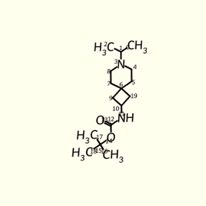 CC(C)N1CCC2(CC1)CC(NC(=O)OC(C)(C)C)C2